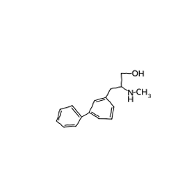 CNC(CO)Cc1cccc(-c2ccccc2)c1